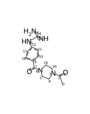 CC(=O)N1CCN(C(=O)c2ccc(NC(=N)N)cc2)CC1